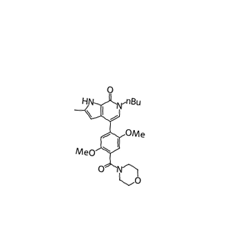 CCCCn1cc(-c2cc(OC)c(C(=O)N3CCOCC3)cc2OC)c2cc(C)[nH]c2c1=O